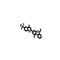 CCNc1ccccc1-c1ccc(-c2cc(C)c3cc(C(F)(F)F)ccc3n2)cc1F